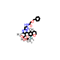 Cc1nc2cc(NC(=O)COCc3ccccc3)nn2c(-c2cc(F)c3c(c2C)CCCO3)c1[C@H](OC(C)(C)C)C(=O)O